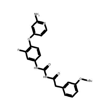 CCCCOc1cccc(CC(=O)NC(=O)Nc2ccc(Oc3ccnc(N)c3)c(F)c2)c1